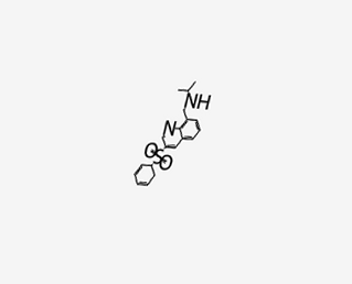 CC(C)NCc1cccc2cc(S(=O)(=O)C3C=CC=CC3)cnc12